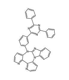 c1ccc(-c2nc(-c3ccccc3)nc(-c3cccc(N4c5cccnc5-c5ncccc5-n5c4nc4ccccc45)c3)n2)cc1